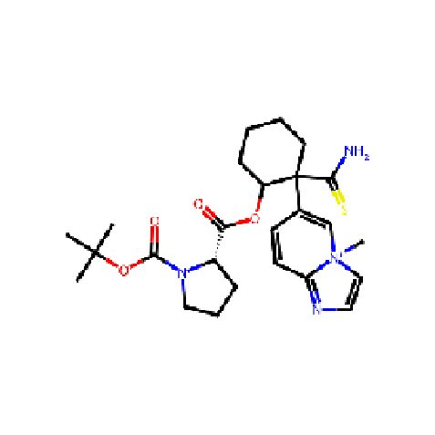 CC(C)(C)OC(=O)N1CCC[C@H]1C(=O)OC1CCCCC1(C(N)=S)C1=C[N+]2(C)C=CN=C2C=C1